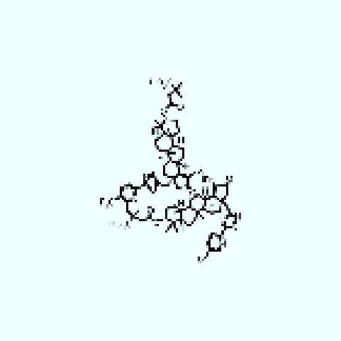 CC(C)C1=C2[C@H]3CC[C@@H]4[C@@]5(C)CC[C@H](OC(=O)CC(C)(Cc6nc(-c7nnc(C[C@@]89CC[C@]%10(C)[C@H](CC[C@@H]%11[C@@]%12(C)CC[C@H](OC(=O)CC(C)(C)C(=O)O)C(C)(C)[C@@H]%12CC[C@]%11%10C)C8=C(C(C)C)C(=O)C9)o7)ccc6C(F)(F)F)C(=O)O)C(C)(C)[C@@H]5CC[C@@]4(C)[C@]3(C)CC[C@@]2(Cc2nnc(-c3ccc(Br)cn3)o2)CC1=O